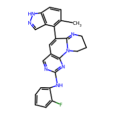 Cc1ccc2[nH]ncc2c1C1=Cc2cnc(Nc3ccccc3F)nc2N2CCCN=C12